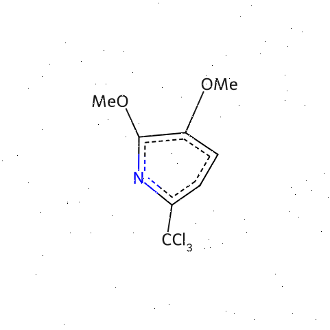 COc1ccc(C(Cl)(Cl)Cl)nc1OC